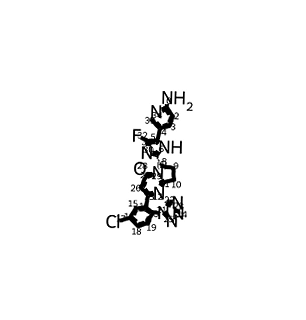 Nc1ccc(-c2[nH]c([C@@H]3CCc4nc(-c5cc(Cl)ccc5-n5cnnn5)cc(=O)n43)nc2F)cn1